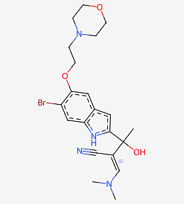 CN(C)/C=C(\C#N)C(C)(O)c1cc2cc(OCCN3CCOCC3)c(Br)cc2[nH]1